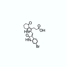 O=C(O)CCc1c(C=C2C(=O)Nc3cc(Br)ccc32)[nH]c2c1C(=O)CCC2